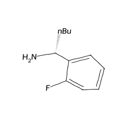 CCCC[C@@H](N)c1ccccc1F